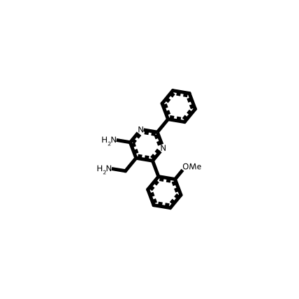 COc1ccccc1-c1nc(-c2ccccc2)nc(N)c1CN